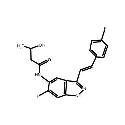 CC(O)CC(=O)Nc1cc2c(C=Cc3ccc(F)cc3)n[nH]c2cc1F